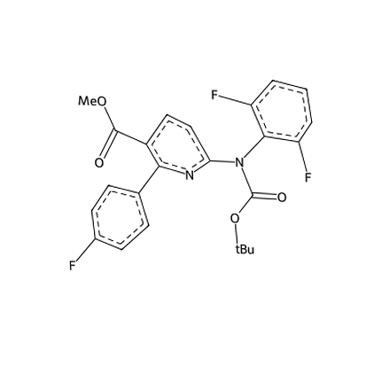 COC(=O)c1ccc(N(C(=O)OC(C)(C)C)c2c(F)cccc2F)nc1-c1ccc(F)cc1